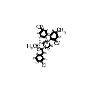 COC[C@H]1[C@H](c2ccc(Cl)cc2)N(c2ccc(C)cc2Cl)CCN1C(=O)Cc1cccc(Cl)c1